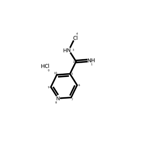 Cl.N=C(NCl)c1ccncc1